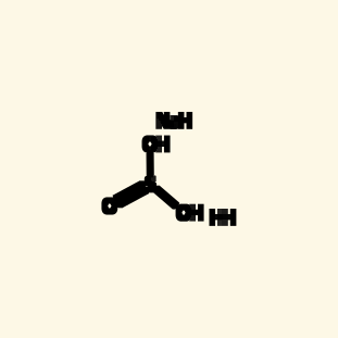 O=S(O)O.[HH].[NaH]